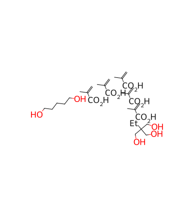 C=C(C)C(=O)O.C=C(C)C(=O)O.C=C(C)C(=O)O.C=C(C)C(=O)O.C=C(C)C(=O)O.CCC(CO)(CO)CO.OCCCCCO